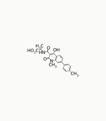 Cc1ccc(-c2ccc3c(O)c(C(=O)NC(C)C(=O)O)c(=O)n(C)c3c2)cc1